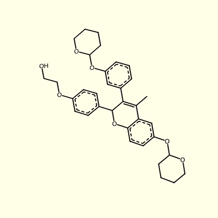 CC1=C(c2cccc(OC3CCCCO3)c2)C(c2ccc(OCCO)cc2)Oc2ccc(OC3CCCCO3)cc21